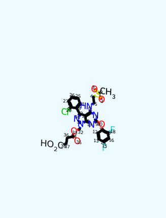 CS(=O)(=O)CCNc1nc(Oc2ccc(F)cc2F)nc2c1c(-c1ccccc1Cl)nn2COC(=O)CCC(=O)O